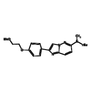 CCCCN(C)c1ccc2nc(-c3ccc(OCCOC)cc3)cn2n1